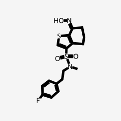 CN(CCc1ccc(F)cc1)S(=O)(=O)c1csc2c1CCC/C2=N/O